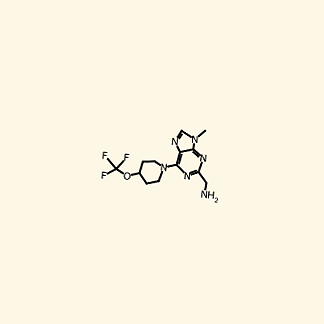 Cn1cnc2c(N3CCC(OC(F)(F)F)CC3)nc(CN)nc21